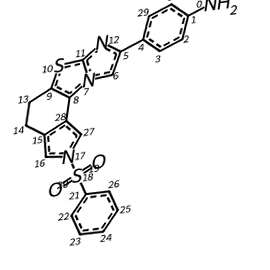 Nc1ccc(-c2cn3c4c(sc3n2)CCc2cn(S(=O)(=O)c3ccccc3)cc2-4)cc1